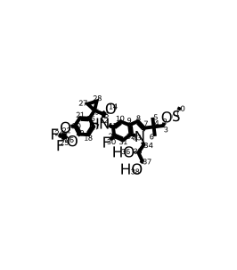 CSOCC(C)(C)c1cc2cc(NC(=O)C3(c4ccc5c(c4)OC(F)(F)O5)CC3)c(F)cc2n1C[C@@H](O)CO